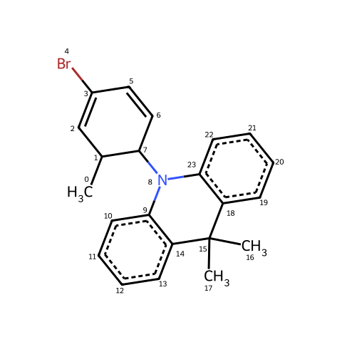 CC1C=C(Br)C=CC1N1c2ccccc2C(C)(C)c2ccccc21